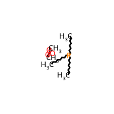 CCCCCCCCP(CCCCCCCC)CCCCCCCC.COC(=O)OC